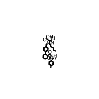 CCCCc1nc(Cl)c(C(=O)O)n1Cc1ccc(C2CCCCC2C(=O)NS(=O)(=O)c2ccc(C)cc2)cc1